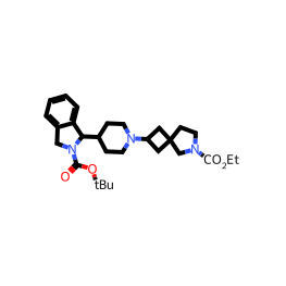 CCOC(=O)N1CCC2(CC(N3CCC(C4c5ccccc5CN4C(=O)OC(C)(C)C)CC3)C2)C1